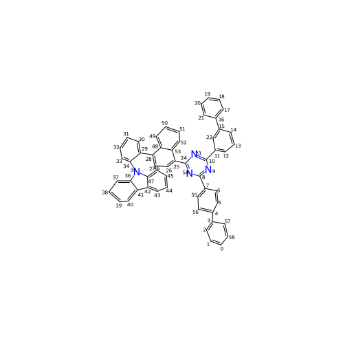 c1ccc(-c2ccc(-c3nc(-c4cccc(-c5ccccc5)c4)nc(-c4ccc(-c5ccccc5-n5c6ccccc6c6ccccc65)c5ccccc45)n3)cc2)cc1